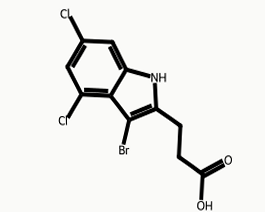 O=C(O)CCc1[nH]c2cc(Cl)cc(Cl)c2c1Br